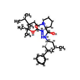 CC(C)CCCN1CCCC[C@@]1(NC(=O)OC(C)(C)C)C(=O)N[C@@H](CCc1ccccc1)CC(C)C